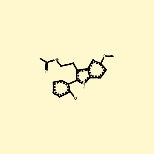 COc1ccc2[nH]c(-c3ccccc3Cl)c(CCNC(C)=O)c2c1